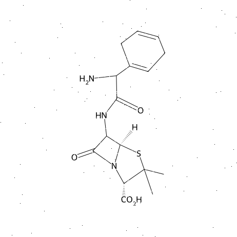 CC1(C)S[C@@H]2C(NC(=O)C(N)C3=CCC=CC3)C(=O)N2[C@H]1C(=O)O